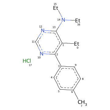 CCc1c(-c2ccc(C)cc2)ncnc1N(CC)CC.Cl